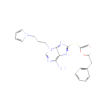 Nc1ncn(CCCn2cccc2)c2nc(SC3=COC(Cc4ccccc4)O3)nc1-2